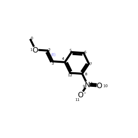 CO/C=C/c1cccc([N+](=O)[O-])c1